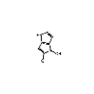 Oc1cc2[nH]ccc2n1O